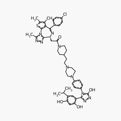 Cc1sc2c(c1C)C(c1ccc(Cl)cc1)=N[C@@H](CC(=O)N1CCC(CCN3CCN(c4ccc(-n5c(O)nnc5-c5cc(C(C)C)c(O)cc5O)cc4)CC3)CC1)c1nnc(C)n1-2